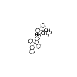 CC1(C)c2ccccc2-c2cccc(Nc3ccc4c(c3)-c3ccccc3C4(c3ccccc3)c3ccc4ccccc4c3)c21